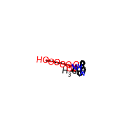 CC[C@@]12C=C(C(=O)N(CC(=O)OCCOCCOCCOCCO)C3CC3)n3c4c(c5ccccc53)CCN(CCC1)[C@H]42